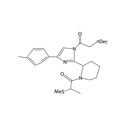 CCCCCCCCCCCC(=O)n1cc(-c2ccc(C)cc2)nc1C1CCCCN1C(=O)C(C)SC